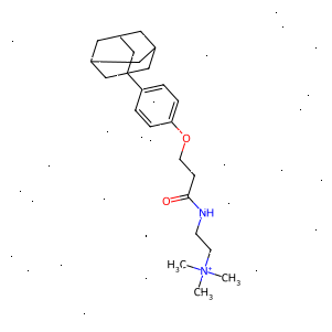 C[N+](C)(C)CCNC(=O)CCOc1ccc(C23CC4CC(CC(C4)C2)C3)cc1